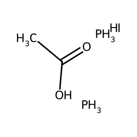 CC(=O)O.I.P.P